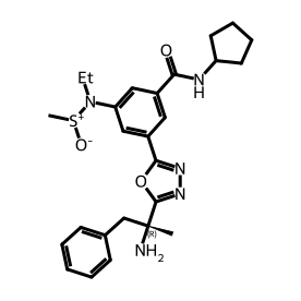 CCN(c1cc(C(=O)NC2CCCC2)cc(-c2nnc([C@](C)(N)Cc3ccccc3)o2)c1)[S+](C)[O-]